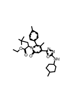 CCOC(=O)C(CC(C)(C)C)n1c(-c2ccc(C)cc2)c(C)c(-c2nnc(NC3CCC(C)CC3)o2)cc1=O